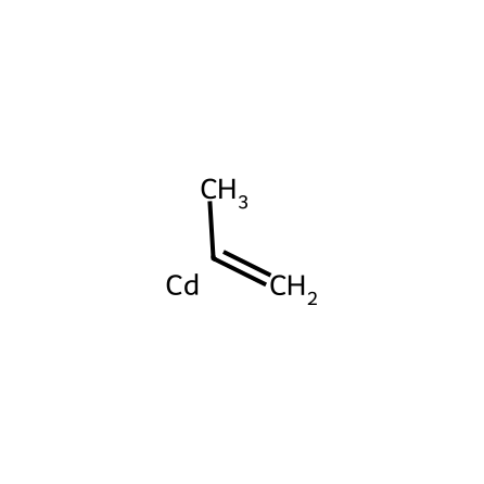 C=CC.[Cd]